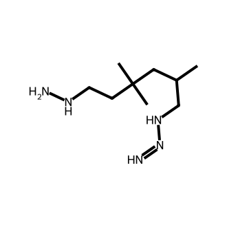 CC(CNN=N)CC(C)(C)CCNN